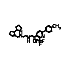 Cc1ccc(-c2ccc([C@H](O)CNCCNC[C@H]3CCCC3C3CCCC3)c(C(F)(F)F)n2)cc1